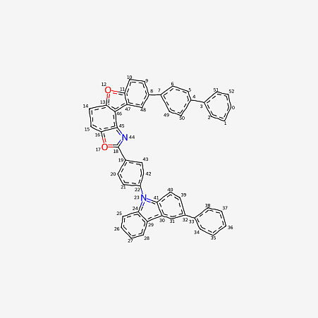 c1ccc(-c2ccc(-c3ccc4oc5ccc6oc(-c7ccc(-n8c9ccccc9c9cc(-c%10ccccc%10)ccc98)cc7)nc6c5c4c3)cc2)cc1